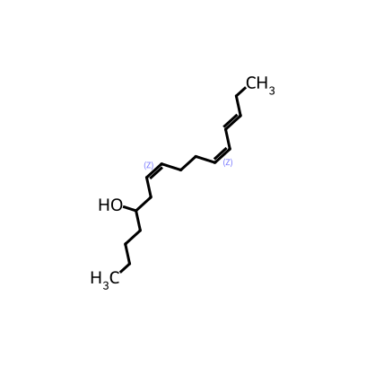 CCC=C/C=C\CC/C=C\CC(O)CCCC